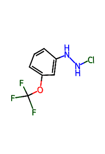 FC(F)(F)Oc1cccc(NNCl)c1